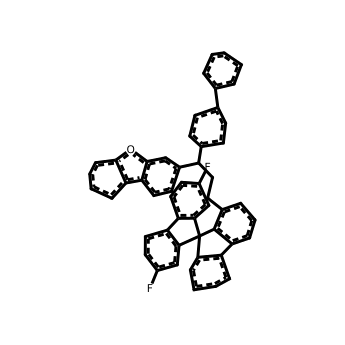 Fc1ccc2c(c1)C1(c3cc(F)ccc3-2)c2ccccc2-c2cccc(CCC(c3ccc(-c4ccccc4)cc3)c3ccc4c(c3)oc3ccccc34)c21